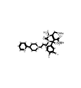 COCC1=C(C(=O)OC)C(C(=O)O)(c2ccc(F)c(F)c2)N(C(=O)CCN2CCC(c3ccccn3)CC2)C(=O)N1N